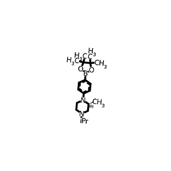 CC(C)N1CCN(c2ccc(B3OC(C)(C)C(C)(C)O3)cc2)[C@H](C)C1